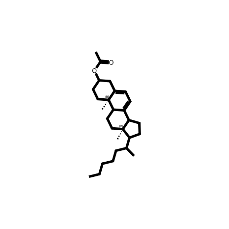 CCCCCC(C)C1CCC2C3=CC=C4CC(OC(C)=O)CC[C@]4(C)C3CC[C@@]21C